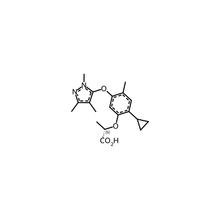 Cc1cc(C2CC2)c(O[C@@H](C)C(=O)O)cc1Oc1c(C)c(C)nn1C